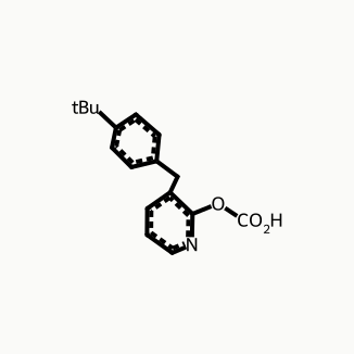 CC(C)(C)c1ccc(Cc2cccnc2OC(=O)O)cc1